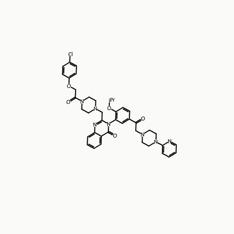 CC(C)Oc1ccc(C(=O)CN2CCN(c3ccccn3)CC2)cc1-n1c(CN2CCN(C(=O)COc3ccc(Cl)cc3)CC2)nc2ccccc2c1=O